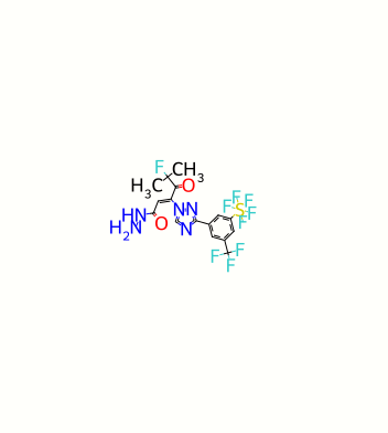 CC(C)(F)C(=O)/C(=C/C(=O)NN)n1cnc(-c2cc(C(F)(F)F)cc(S(F)(F)(F)(F)F)c2)n1